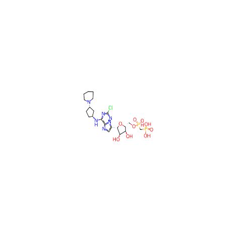 O=P(O)(O)CP(=O)(O)OC[C@H]1O[C@@H](c2cnc3c(N[C@H]4CC[C@H](N5CCCCC5)C4)nc(Cl)nn23)[C@H](O)[C@@H]1O